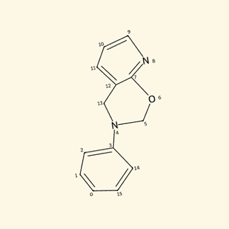 c1ccc(N2COc3ncccc3C2)cc1